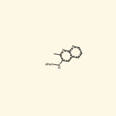 CCCCCNc1cc2cccnc2nc1C